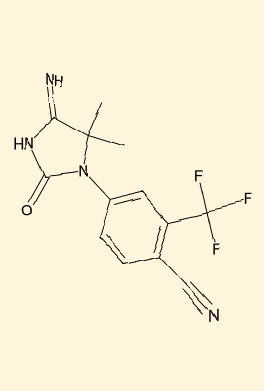 CC1(C)C(=N)NC(=O)N1c1ccc(C#N)c(C(F)(F)F)c1